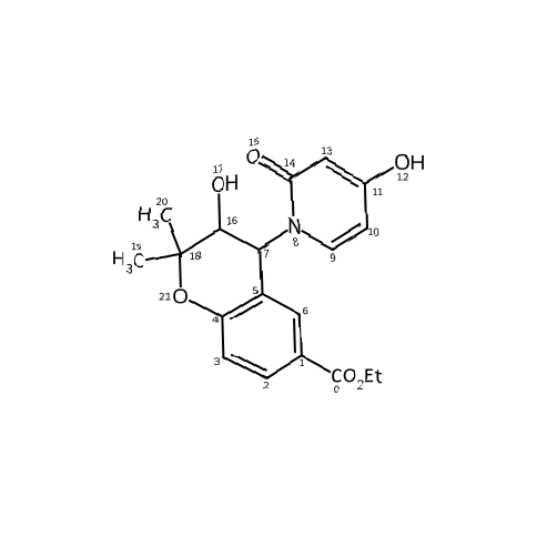 CCOC(=O)c1ccc2c(c1)C(n1ccc(O)cc1=O)C(O)C(C)(C)O2